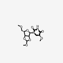 COC[C@H]1OC(n2cc(OC)c(=O)[nH]c2=O)C2OC(OC)OC21